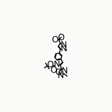 COC(=O)c1cc(-c2ccc3c(c2)cc(-c2nc(C)no2)n3C(=O)OC(C)(C)C)n(C)n1